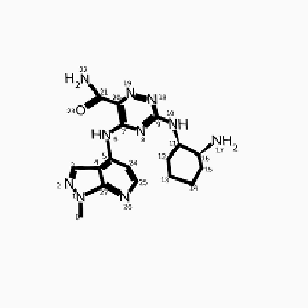 Cn1ncc2c(Nc3nc(N[C@@H]4CCCC[C@@H]4N)nnc3C(N)=O)ccnc21